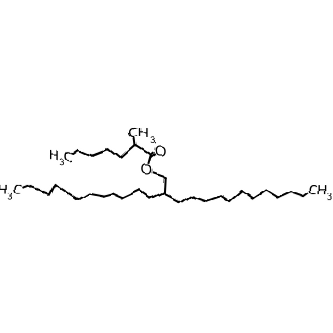 CCCCCCCCCCCCC(CCCCCCCCCCC)COC(=O)C(C)CCCCC